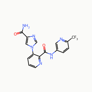 NC(=O)c1cn(-c2cccnc2C(=O)Nc2ccc(C(F)(F)F)nc2)cn1